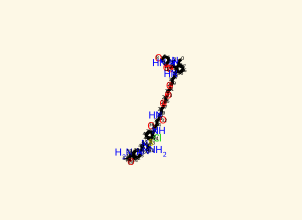 Cc1nn(C2CCC(=O)NC2=O)c(=O)c2c(NCCCOCCOCCOCCCNC(=O)CCC(=O)Nc3cccc(Sc4ncc(N5CCC6(CC5)CO[C@@H](C)[C@H]6N)nc4N)c3Cl)cccc12